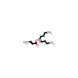 C/C=C/C(=O)[O][SnH]([CH2]CCC)[CH2]CCC